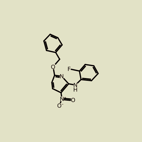 O=[N+]([O-])c1ccc(OCc2ccccc2)nc1Nc1ccccc1F